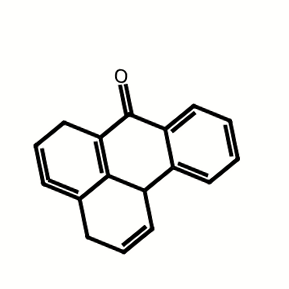 O=C1C2=C3C(=C=CC2)CC=CC3c2ccccc21